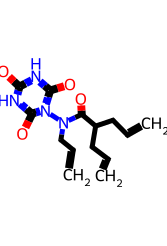 C=CCC(CC=C)C(=O)N(CC=C)n1c(=O)[nH]c(=O)[nH]c1=O